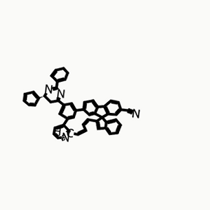 C/C=C\C=C/C1=Cc2ccccc2C12c1cc(C#N)ccc1-c1ccc(-c3cc(C4=NC(C5=CCCC=C5)=N[C@@H](c5ccccc5)C4)cc(-c4cccnc4)c3)cc12